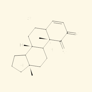 C[C@@]12CCC[C@H]1[C@@H]1C[C@H](Br)C3C=CC(=O)C(=O)[C@]3(C)[C@H]1CC2